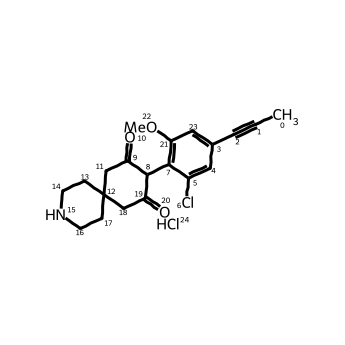 CC#Cc1cc(Cl)c(C2C(=O)CC3(CCNCC3)CC2=O)c(OC)c1.Cl